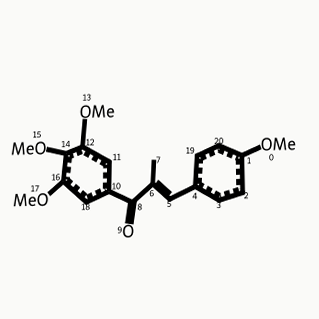 COc1ccc(/C=C(\C)C(=O)c2cc(OC)c(OC)c(OC)c2)cc1